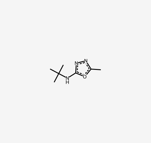 Cc1nnc(NC(C)(C)C)o1